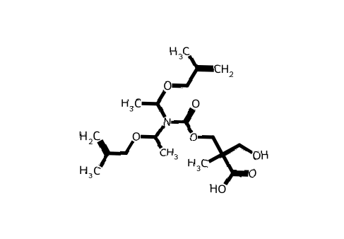 C=C(C)COC(C)N(C(=O)OCC(C)(CO)C(=O)O)C(C)OCC(=C)C